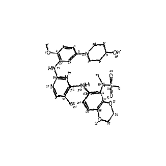 COc1ccc(N2CCC(O)CC2)cc1Nc1ncc(Br)c(Nc2ccc3c(c2N(C)S(C)(=O)=O)OCCO3)n1